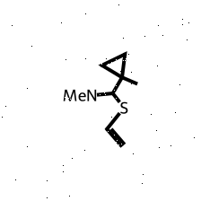 C=CSC(NC)C1(C)CC1